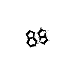 C1=Cc2ccccc2C1.c1cc2sccc2s1